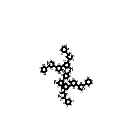 N#Cc1cc(-n2c3ccc(-c4cncc(-c5ccccc5)c4)cc3c3cc(-c4ccnc(-c5ccccc5)c4)ccc32)c(-c2cc(F)cc(F)c2)cc1-n1c2ccc(-c3ccnc(-c4ccccc4)c3)cc2c2cc(-c3ccnc(-c4ccccc4)c3)ccc21